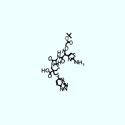 CC(C)(C)OC(=O)CON=C(C(=O)NC1C(=O)N2CC(CSc3ccc4nnnn4n3)(C(=O)O)CS[C@H]12)c1csc(N)n1